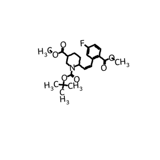 COC(=O)c1ccc(F)cc1/C=C\C1CCC(C(=O)OC)CN1C(=O)OC(C)(C)C